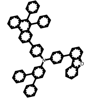 c1ccc(-c2ccc(N(c3ccc(-c4ccc5c(c4)c(-c4ccccc4)c(-c4ccccc4)c4ccccc45)cc3)c3ccc(-c4cccc5oc6ccccc6c45)cc3)cc2-c2ccccc2)cc1